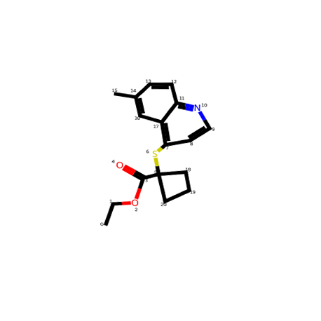 CCOC(=O)C1(Sc2ccnc3ccc(C)cc23)CCC1